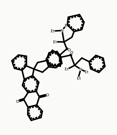 CCN(CC)C(CC)(Cc1ccccc1)C(=O)c1ccc(CC2(Cc3ccc(C(=O)C(CC)(Cc4ccccc4)N(CC)CC)cc3)c3ccccc3-c3cc4c(cc32)C(=O)c2ccccc2C4=O)cc1